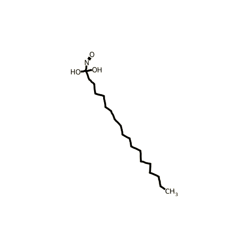 CCCCCCCCCCCCCCCCCCC(O)(O)N=O